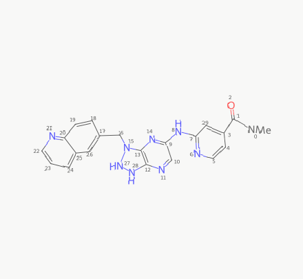 CNC(=O)c1ccnc(Nc2cnc3c(n2)N(Cc2ccc4ncccc4c2)NN3)c1